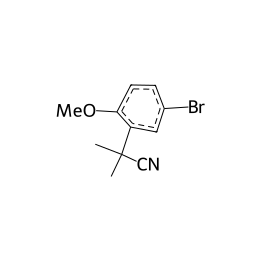 COc1ccc(Br)cc1C(C)(C)C#N